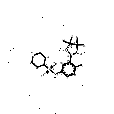 Cc1ccc(NS(=O)(=O)C2CCOCC2)cc1B1OC(C)(C)C(C)(C)O1